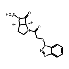 O=C(CSn1nnc2ccccc21)N1CC[C@@H]2[C@H]1C(=O)N2S(=O)(=O)O